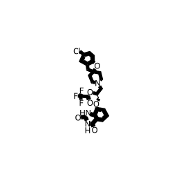 O=C(O[C@@H](COc1cccc2c(=O)[nH]c(=O)[nH]c12)CN1CCC2(CC1)Cc1cc(Cl)ccc1O2)C(F)(F)F